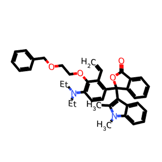 C=Cc1c(C2(c3c(C)n(C)c4ccccc34)OC(=O)c3ccccc32)ccc(N(CC)CC)c1OCCOCc1ccccc1